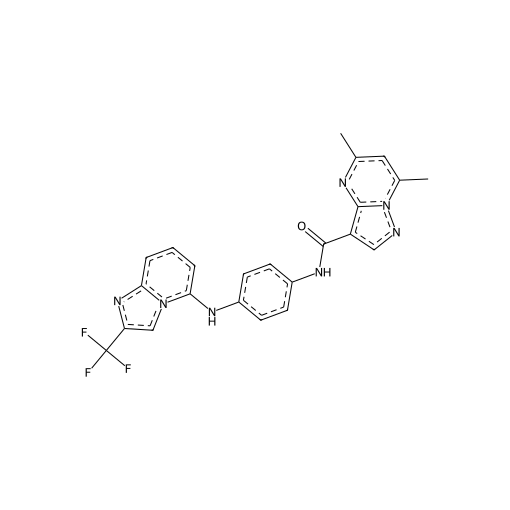 Cc1cc(C)n2ncc(C(=O)Nc3ccc(Nc4cccc5nc(C(F)(F)F)cn45)cc3)c2n1